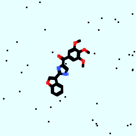 COc1cc(C(=O)c2c[nH]c(-c3coc4ccccc34)n2)cc(OC)c1OC